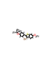 CC(C)Oc1ccc2c(Br)c(-c3ccc(O[Si](C(C)C)(C(C)C)C(C)C)cc3)sc2c1